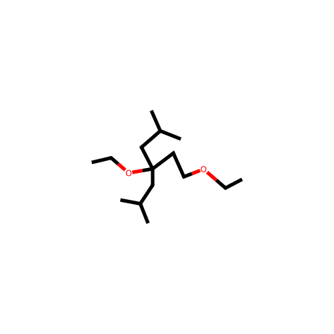 CCOCCC(CC(C)C)(CC(C)C)OCC